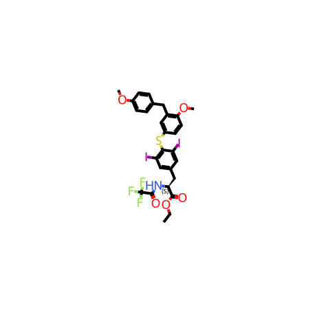 CCOC(=O)[C@H](Cc1cc(I)c(Sc2ccc(OC)c(Cc3ccc(OC)cc3)c2)c(I)c1)NC(=O)C(F)(F)F